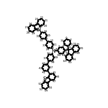 c1ccc(C2(c3ccc(N(c4ccc(-c5ccc(-n6c7ccccc7c7ccccc76)cc5)cc4)c4ccc(-c5cccc(-c6cccc7c6sc6ccccc67)c5)cc4)cc3)c3ccccc3-c3ccccc32)cc1